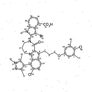 Cc1cc(OCCCc2c3n(c4c(-c5c(C)nn(C)c5C)c(Cl)ccc24)CCCN(c2c(Br)c4c(C(=O)O)cccc4n2C)C3=O)cc(C)c1Cl